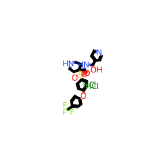 Cl.Cl.O=C(NC(O)c1ccncc1)C1(S(=O)(=O)c2ccc(Oc3ccc(C(F)(F)F)cc3)cc2)CCNCC1